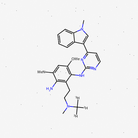 [2H]C([2H])([2H])N(C)CCc1c(N)c(NC)cc(OC)c1Nc1nccc(-c2cn(C)c3ccccc23)n1